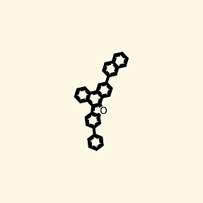 c1ccc(-c2ccc3c(c2)oc2c4ccc(-c5ccc6ccccc6c5)cc4c4ccccc4c32)cc1